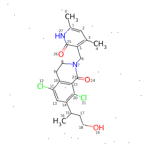 Cc1cc(C)c(CN2CCc3c(Cl)cc(C(C)CCO)c(Cl)c3C2=O)c(=O)[nH]1